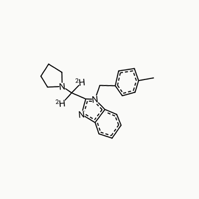 [2H]C([2H])(c1nc2ccccc2n1Cc1ccc(C)cc1)N1CCCC1